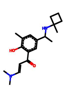 Cc1cc(C(C)NC2(C)CCC2)cc(C(=O)C=CN(C)C)c1O